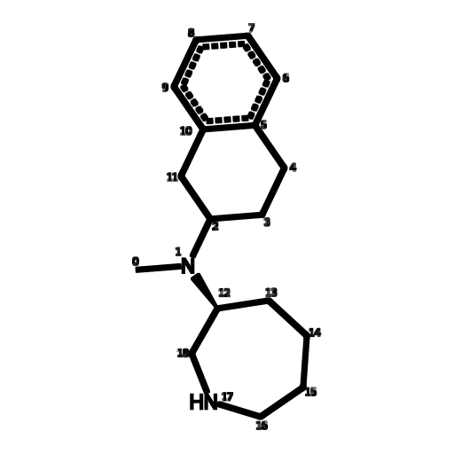 CN(C1CCc2ccccc2C1)[C@H]1CCCCNC1